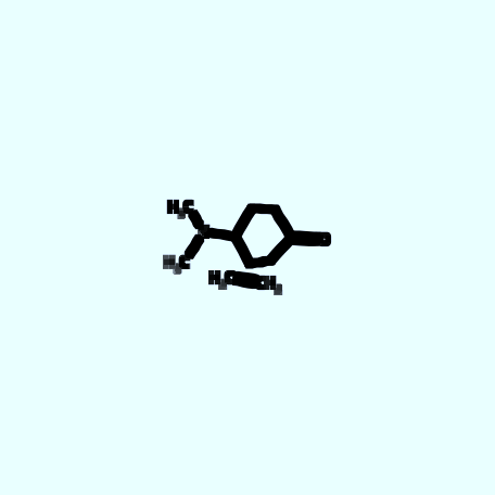 C=C.CN(C)C1CCC(=O)CC1